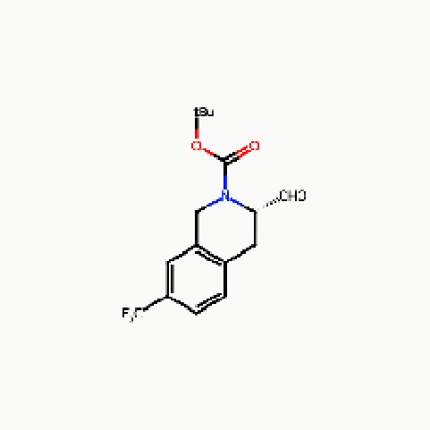 CC(C)(C)OC(=O)N1Cc2cc(C(F)(F)F)ccc2C[C@H]1C=O